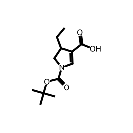 CCC1CN(C(=O)OC(C)(C)C)C=C1C(=O)O